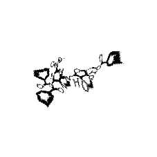 O=C(OC[C@H]1O[C@@H](n2cnc3c(N(C(=O)c4ccccc4)C(=O)c4ccccc4)nc([N+](=O)[O-])nc32)[C@@H]2OCO[C@@H]21)c1ccccc1